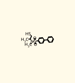 CC(CS)N(C)S(=O)(=O)c1ccc(-c2ccccc2)cc1